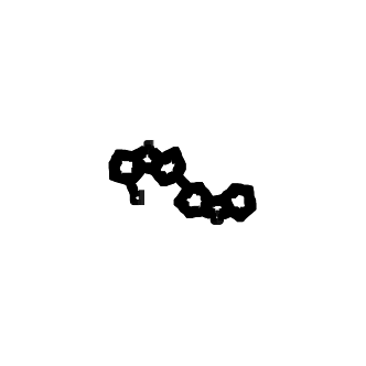 Clc1cccc2sc3ccc(-c4ccc5oc6ccccc6c5c4)cc3c12